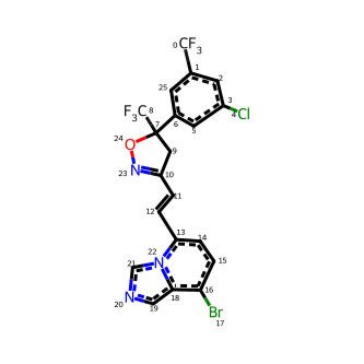 FC(F)(F)c1cc(Cl)cc(C2(C(F)(F)F)CC(C=Cc3ccc(Br)c4cncn34)=NO2)c1